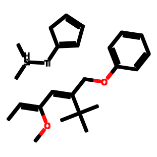 CC=C(C=C(COc1ccccc1)C(C)(C)C)OC.C[SiH](C)[Ti][C]1=CC=CC1